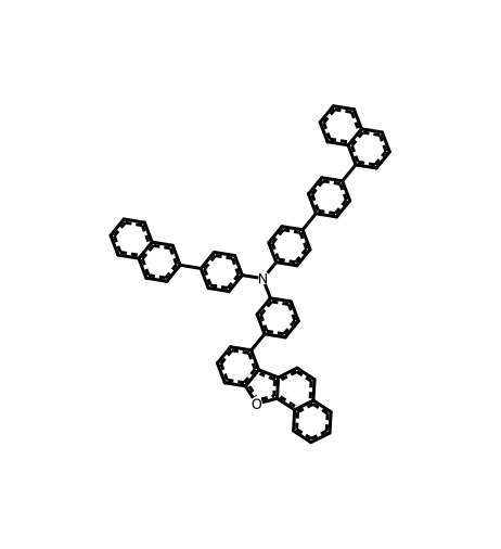 c1cc(-c2cccc3oc4c5ccccc5ccc4c23)cc(N(c2ccc(-c3ccc(-c4cccc5ccccc45)cc3)cc2)c2ccc(-c3ccc4ccccc4c3)cc2)c1